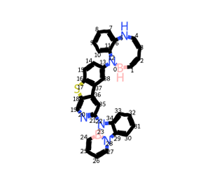 B1/C=C\C=C/Nc2ccccc2N1c1ccc2sc3cnc(N4B5C=CC=CN5c5ccccc54)cc3c2c1